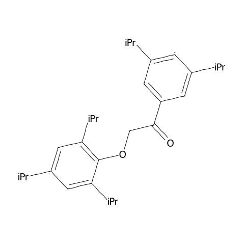 CC(C)c1[c]c(C(C)C)cc(C(=O)COc2c(C(C)C)cc(C(C)C)cc2C(C)C)c1